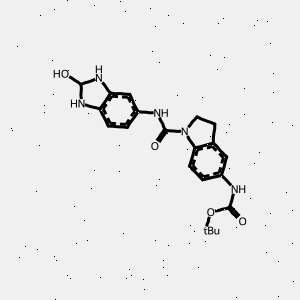 CC(C)(C)OC(=O)Nc1ccc2c(c1)CCN2C(=O)Nc1ccc2c(c1)NC(O)N2